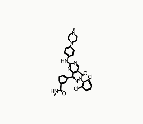 CNC(=O)c1cccc(-c2nn(-c3c(Cl)cccc3Cl)c(=O)c3cnc(Nc4ccc(N5CCN(C)CC5)cc4)nc23)c1